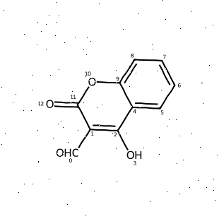 O=Cc1c(O)c2ccccc2oc1=O